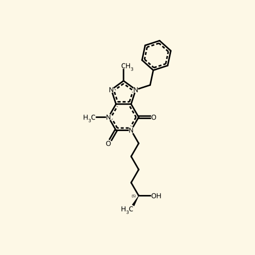 Cc1nc2c(c(=O)n(CCCC[C@H](C)O)c(=O)n2C)n1Cc1ccccc1